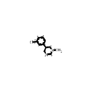 CN1C=NCC(c2cccc(Cl)c2)C1